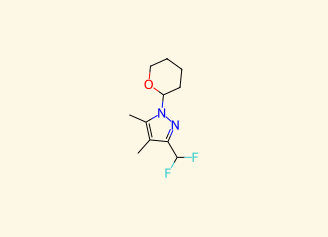 Cc1c(C(F)F)nn(C2CCCCO2)c1C